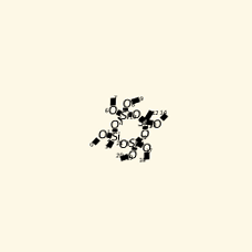 CO[Si]1(C)O[Si](OC)(OC)O[Si](C)(OC)O[Si](OC)(OC)O1